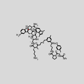 CCCC(=O)N[C@@H](Cc1ccc(OC)cc1)C(=O)N1CCCC1C(=O)NCCSCc1cc(C)cc(CSCCC(=O)N(C)[C@@H](CCCCN)C(=O)N[C@H](C)C(=O)N[C@@H](Cc2cn(C)c3ccc(F)cc23)C(=O)N(N)[C@@H](Cc2c[nH]c3ccc(P)cc23)C(=O)N2CCC[C@H]2C(N)=O)c1